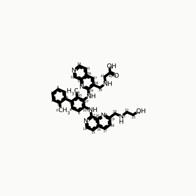 Cc1ccccc1-c1ccc(Nc2nccc3ccc(CNCCO)nc23)c(Nc2nc3cnccc3cc2CNCC(=O)O)c1C